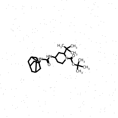 CC(C)(C)OC(=O)N1CCC(NC(=O)NC23CC4CC(CC(C4)C2)C3)CC1C(C)(C)C